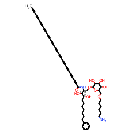 CC#CC#CC#CC#CC#CC#CC#CC#CC#CC#CC#CC#CC(=O)N[C@@H](COC1OC(COCCCCCCN)C(O)C(O)C1O)[C@H](O)[C@H](O)CCCCCCCc1ccccc1